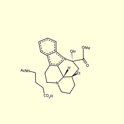 CC(=O)NCCCC(=O)O.CC[C@]12CCCN3CCc4c(n(c5ccccc45)[C@@](O)(C(=O)OC)C1)[C@@H]32